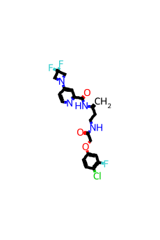 C=C(CCNC(=O)COc1ccc(Cl)c(F)c1)NC(=O)c1cc(N2CC(F)(F)C2)ccn1